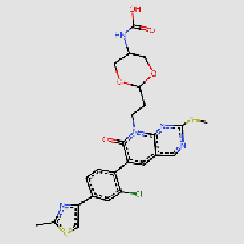 CSc1ncc2cc(-c3ccc(-c4csc(C)n4)cc3Cl)c(=O)n(CCC3OCC(NC(=O)O)CO3)c2n1